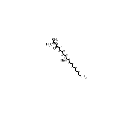 CCCCCCCCCCCCCCCC(=O)OC(C)C.[NaH]